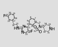 CS(=O)(=O)N(Cc1cccc(-c2nc(NCCc3cccc(F)c3)ncc2F)c1)C1CCNCC1